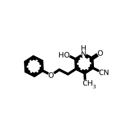 Cc1c(CCOc2ccccc2)c(O)[nH]c(=O)c1C#N